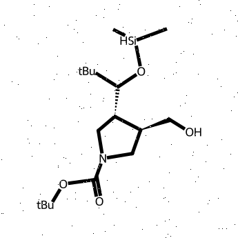 C[SiH](C)OC([C@H]1CN(C(=O)OC(C)(C)C)C[C@@H]1CO)C(C)(C)C